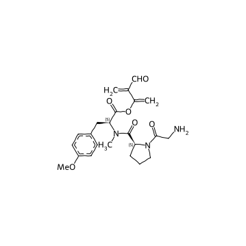 C=C(C=O)C(=C)OC(=O)[C@H](Cc1ccc(OC)cc1)N(C)C(=O)[C@@H]1CCCN1C(=O)CN